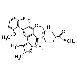 C=CC(=O)N1CCN2C(=O)c3c(-c4c(C)nn(C)c4C)nc(-c4c(F)cccc4OC)c(Cl)c3OC[C@H]2C1